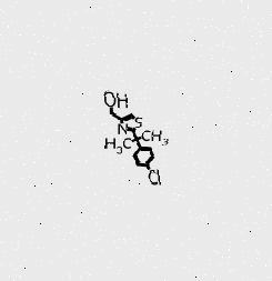 CC(C)(c1ccc(Cl)cc1)c1nc(CO)cs1